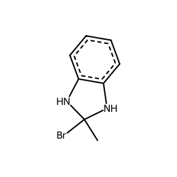 CC1(Br)Nc2ccccc2N1